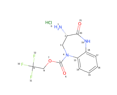 Cl.N[C@H]1CN(C(=O)OCC(F)(F)F)c2ccccc2NC1=O